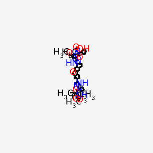 CC[C@H](C)[C@H](NC(=O)OC)C(=O)N1[C@@H](C)CC[C@H]1c1ncc(-c2ccc3c(c2)COc2cc4c(ccc5nc([C@@H]6C[C@H](COC)CN6C(=O)[C@@H](c6ccccc6)N(C)C(=O)O)[nH]c54)cc2-3)[nH]1